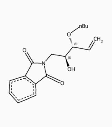 C=C[C@@H](OCCCC)[C@@H](O)CN1C(=O)c2ccccc2C1=O